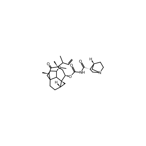 C=CC(C)[C@]1(C)C[C@@H](OC(=O)NC(=O)[C@H]2CN3CC[C@@H]2C3)[C@]23C[C@@H]2CCC2(CC[C@@H](OC)C23)[C@@H](C)C1=O